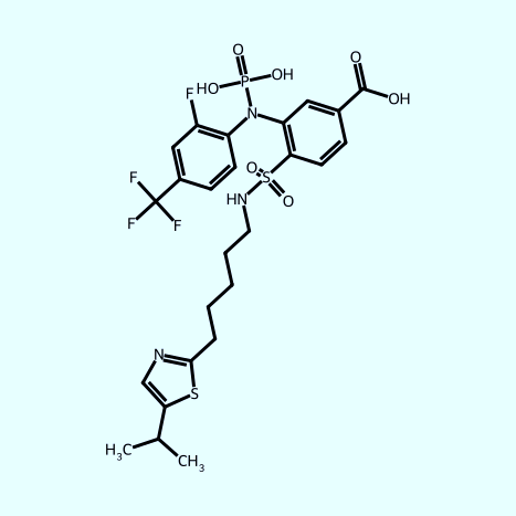 CC(C)c1cnc(CCCCCNS(=O)(=O)c2ccc(C(=O)O)cc2N(c2ccc(C(F)(F)F)cc2F)P(=O)(O)O)s1